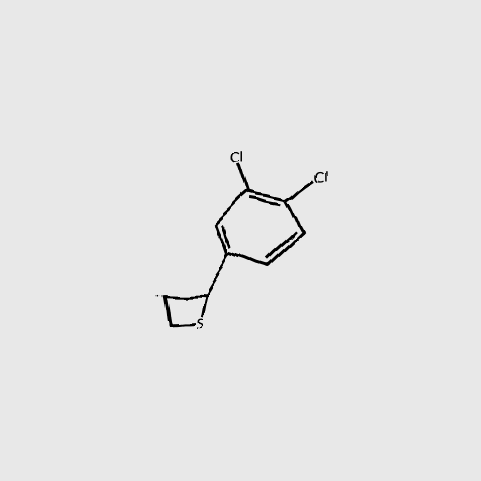 Clc1ccc(C2[CH]CS2)cc1Cl